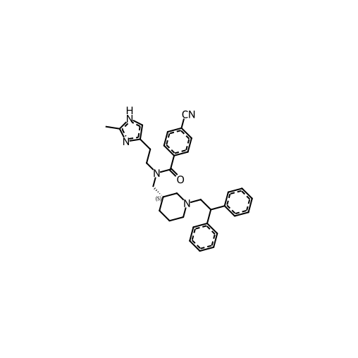 Cc1nc(CCN(C[C@H]2CCCN(CC(c3ccccc3)c3ccccc3)C2)C(=O)c2ccc(C#N)cc2)c[nH]1